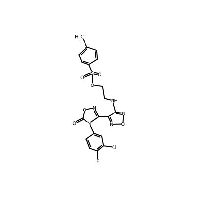 Cc1ccc(S(=O)(=O)OCCNc2nonc2-c2noc(=O)n2-c2ccc(F)c(Cl)c2)cc1